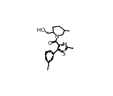 Cc1nc(C(=O)N2CC(C)CCC2CO)c(-c2cccc(F)c2)s1